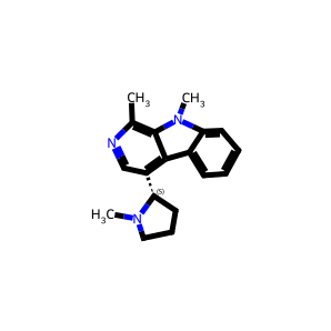 Cc1ncc([C@@H]2CCCN2C)c2c3ccccc3n(C)c12